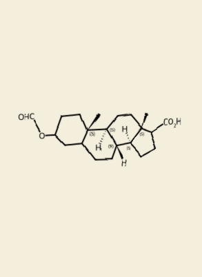 C[C@]12CCC(OC=O)CC1CC[C@@H]1[C@@H]2CC[C@]2(C)C(C(=O)O)CC[C@@H]12